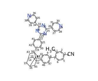 Cc1cc(C#N)ccc1-c1ccc(C23CC4CC(CC(c5ccc(-c6nc(-c7ccncc7)nc(-c7ccncc7)n6)cc5)(C4)C2)C3)cc1